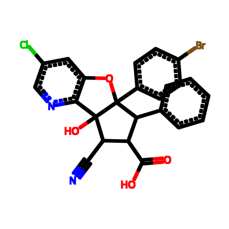 N#CC1C(C(=O)O)C(c2ccccc2)C2(c3ccc(Br)cc3)Oc3cc(Cl)cnc3C12O